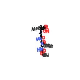 COC(=O)N(CCNC(=O)CC/C(C)=C/Cc1c(O)c2c(c(C)c1OC)COC2=O)CCNC(=O)OC(C)(C)C